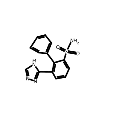 NS(=O)(=O)c1cccc(-c2nnc[nH]2)c1-c1ccccc1